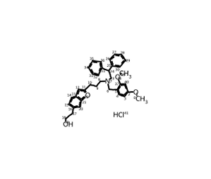 COc1ccc(CN(CCCc2cc3ccc(CCO)cc3o2)CC(c2ccccc2)c2ccccc2)c(OC)c1.Cl